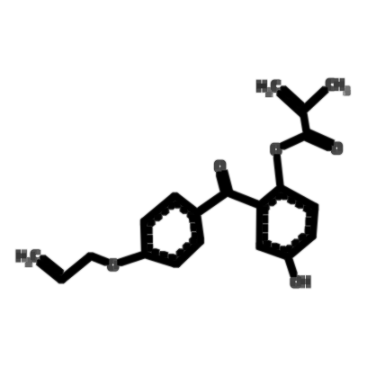 C=CCOc1ccc(C(=O)c2cc(O)ccc2OC(=O)C(=C)C)cc1